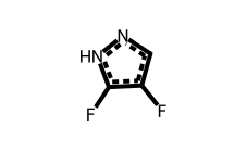 Fc1cn[nH]c1F